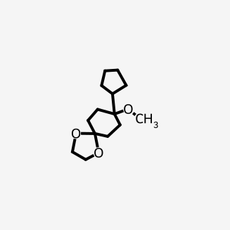 COC1(C2CCCC2)CCC2(CC1)OCCO2